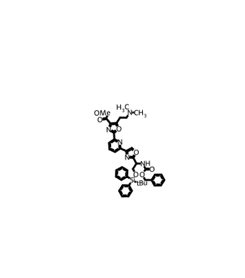 COC(=O)c1nc(-c2cccc(-c3coc(C(CO[Si](c4ccccc4)(c4ccccc4)C(C)(C)C)NC(=O)OCc4ccccc4)n3)n2)oc1CCN(C)C